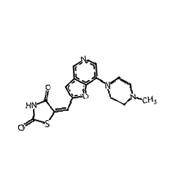 CN1CCN(c2cncc3cc(C=C4SC(=O)NC4=O)oc23)CC1